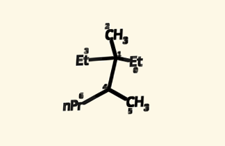 [CH2]CC(C)(CC)C(C)CCC